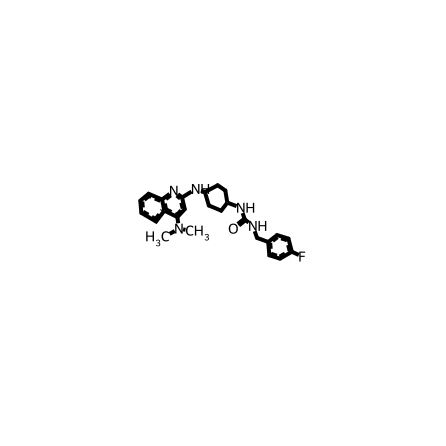 CN(C)c1cc(NC2CCC(NC(=O)NCc3ccc(F)cc3)CC2)nc2ccccc12